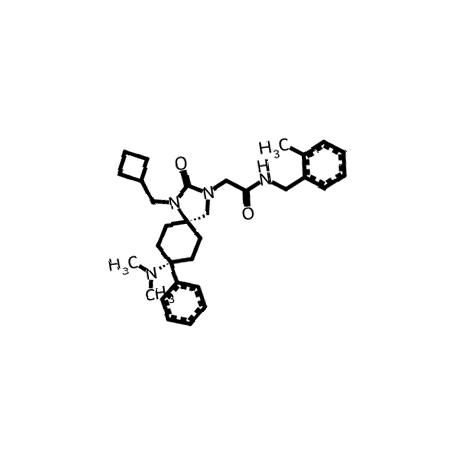 Cc1ccccc1CNC(=O)CN1C[C@]2(CC[C@@](c3ccccc3)(N(C)C)CC2)N(CC2CCC2)C1=O